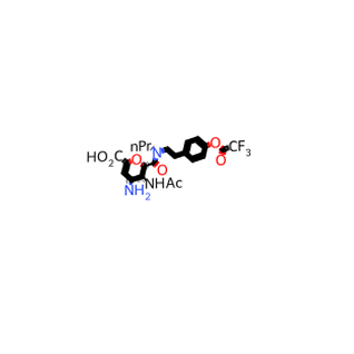 CCCN(CCc1ccc(OC(=O)C(F)(F)F)cc1)C(=O)[C@@H]1OC(C(=O)O)=C[C@H](N)[C@H]1NC(C)=O